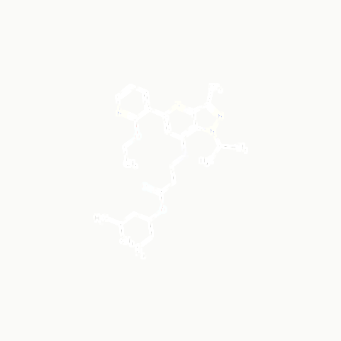 CCOc1ncccc1-c1cc(SCCC(=O)OC(CC)CC(C)C)c2c(n1)c(C)nn2C(C)C